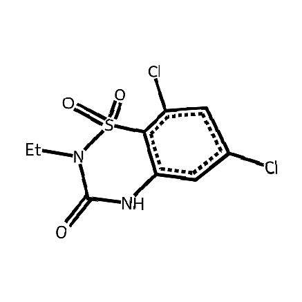 CCN1C(=O)Nc2cc(Cl)cc(Cl)c2S1(=O)=O